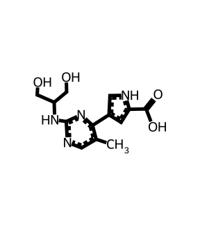 Cc1cnc(NC(CO)CO)nc1-c1c[nH]c(C(=O)O)c1